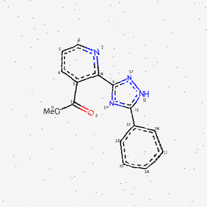 COC(=O)c1cccnc1-c1n[nH]c(-c2ccccc2)n1